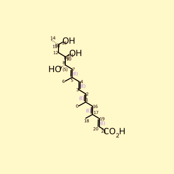 CC(=C\C=C\C(C)=C\[C@H](O)[C@H](O)C[C@H](C)O)/C=C(C)/C=C/C(=O)O